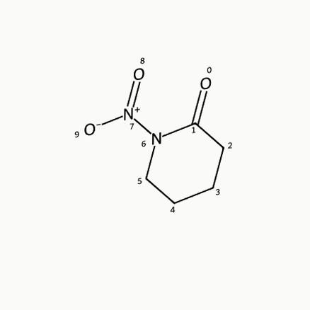 O=C1CCCCN1[N+](=O)[O-]